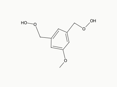 COc1cc(COO)cc(COO)c1